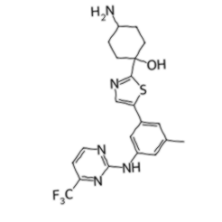 Cc1cc(Nc2nccc(C(F)(F)F)n2)cc(-c2cnc(C3(O)CCC(N)CC3)s2)c1